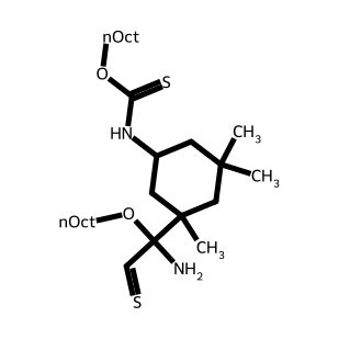 CCCCCCCCOC(=S)NC1CC(C)(C)CC(C)(C(N)(C=S)OCCCCCCCC)C1